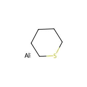 C1CCSCC1.[Al]